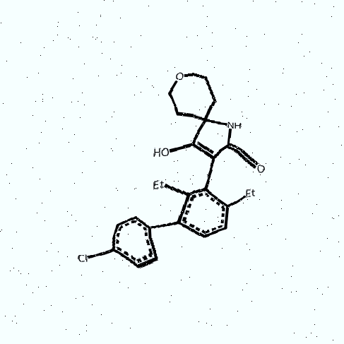 CCc1ccc(-c2ccc(Cl)cc2)c(CC)c1C1=C(O)C2(CCOCC2)NC1=O